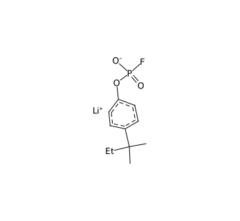 CCC(C)(C)c1ccc(OP(=O)([O-])F)cc1.[Li+]